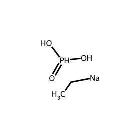 C[CH2][Na].O=[PH](O)O